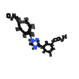 O=C(O)c1cccc(-c2ncn(-c3ccc([N+](=O)[O-])cc3)n2)c1